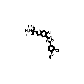 CCOc1ccc(-c2nc(-c3cc4cc(C(N)(CO)CO)oc4cc3Cl)no2)cc1Cl